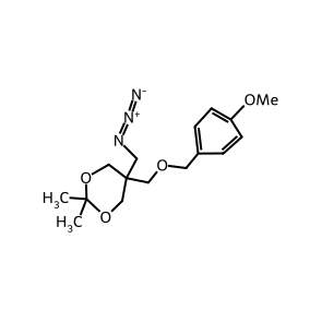 COc1ccc(COCC2(CN=[N+]=[N-])COC(C)(C)OC2)cc1